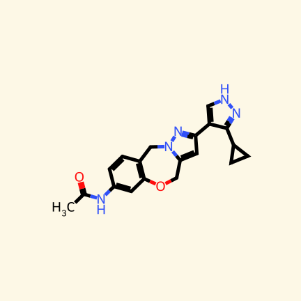 CC(=O)Nc1ccc2c(c1)OCc1cc(-c3c[nH]nc3C3CC3)nn1C2